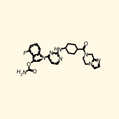 NC(=O)Oc1cn(-c2ccnc(NC3CCC(C(=O)N4CCn5ccnc5C4)CC3)n2)c2cccc(F)c12